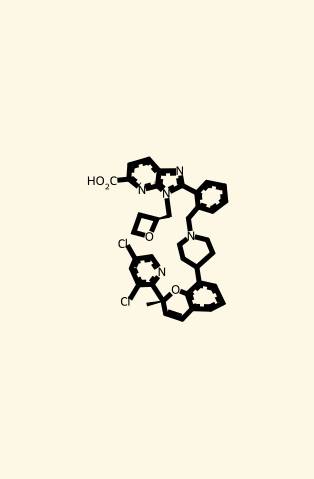 C[C@]1(c2ncc(Cl)cc2Cl)C=Cc2cccc(C3CCN(Cc4ccccc4-c4nc5ccc(C(=O)O)nc5n4C[C@@H]4CCO4)CC3)c2O1